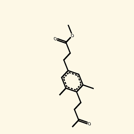 COC(=O)CCc1cc(C)c(CCC(C)=O)c(C)c1